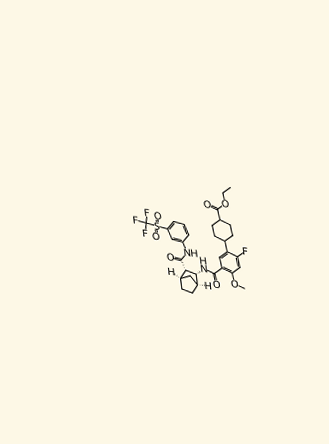 CCOC(=O)C1CCC(c2cc(C(=O)N[C@@H]3[C@H]4CC[C@H](C4)[C@@H]3C(=O)Nc3cccc(S(=O)(=O)C(F)(F)F)c3)c(OC)cc2F)CC1